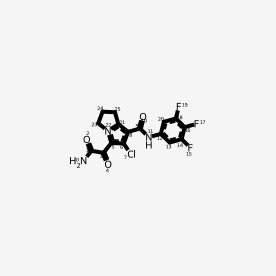 NC(=O)C(=O)c1c(Cl)c(C(=O)Nc2cc(F)c(F)c(F)c2)c2n1CCC2